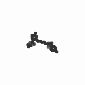 Cc1ccc(S(=O)(=O)OCCCCCc2nc(C)ccc2C(=O)OC(C)(C)C)cc1